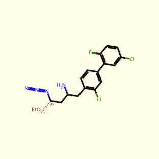 CCOC(=O)[C@@H](CC(N)Cc1ccc(-c2cc(Cl)ccc2F)cc1Cl)N=[N+]=[N-]